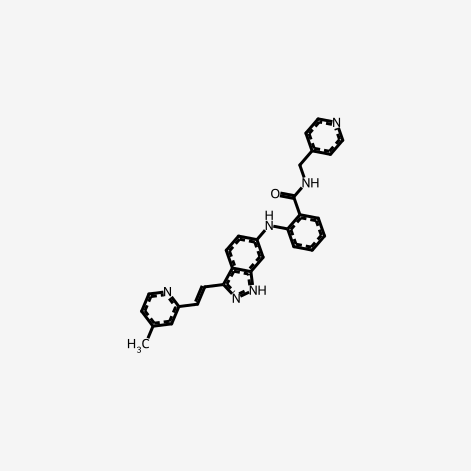 Cc1ccnc(C=Cc2n[nH]c3cc(Nc4ccccc4C(=O)NCc4ccncc4)ccc23)c1